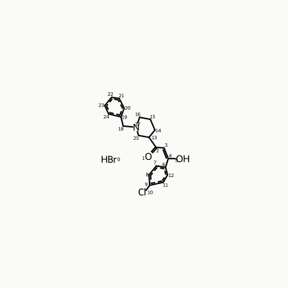 Br.O=C(/C=C(/O)c1ccc(Cl)cc1)C1CCCN(Cc2ccccc2)C1